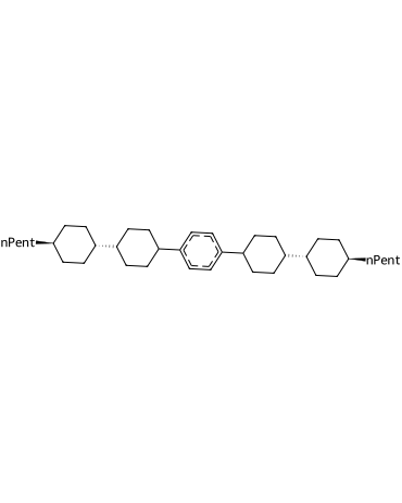 CCCCC[C@H]1CC[C@H](C2CCC(c3ccc(C4CCC([C@H]5CC[C@H](CCCCC)CC5)CC4)cc3)CC2)CC1